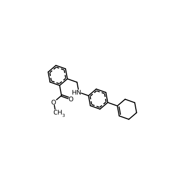 COC(=O)c1ccccc1CNc1ccc(C2=CCCCC2)cc1